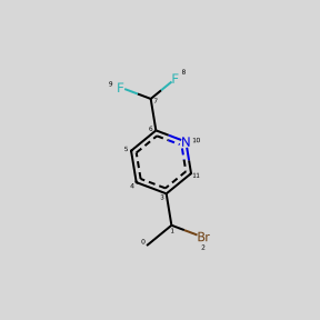 CC(Br)c1ccc(C(F)F)nc1